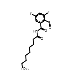 CCCCCCCCCCCCCCCCCC(=O)NC(=O)c1cc(F)cc(F)c1I=O